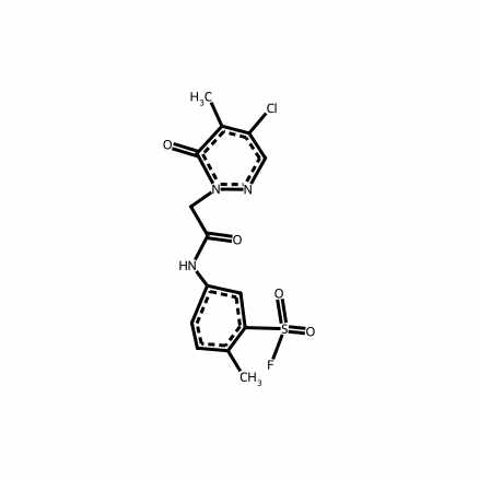 Cc1ccc(NC(=O)Cn2ncc(Cl)c(C)c2=O)cc1S(=O)(=O)F